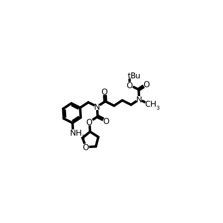 CN(CCCC(=O)N(Cc1cccc(N)c1)C(=O)OC1CCOC1)C(=O)OC(C)(C)C